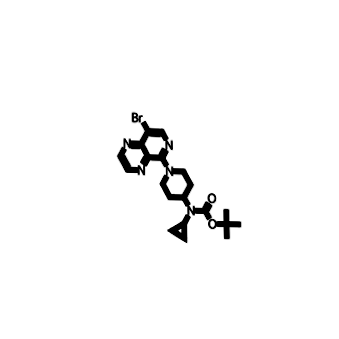 CC(C)(C)OC(=O)N(C1CC1)C1CCN(c2ncc(Br)c3nccnc23)CC1